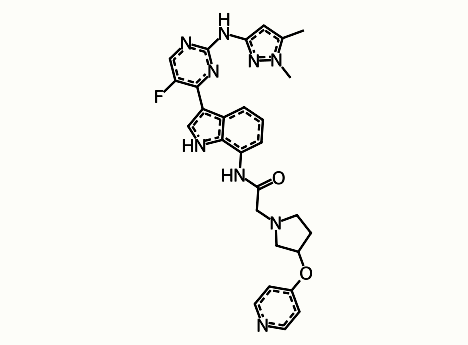 Cc1cc(Nc2ncc(F)c(-c3c[nH]c4c(NC(=O)CN5CCC(Oc6ccncc6)C5)cccc34)n2)nn1C